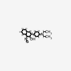 CCN(CC)c1ccc(-c2cc3ccccc3c(N=O)c2O)cc1